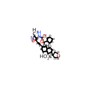 Cc1noc(C#Cc2ccc3cc(C4(C(=O)O)CCOCC4)ccc3c2)c1NC(=O)OC(C)c1ccccc1